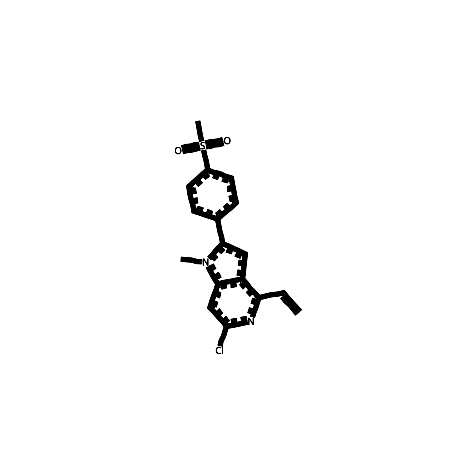 C=Cc1nc(Cl)cc2c1cc(-c1ccc(S(C)(=O)=O)cc1)n2C